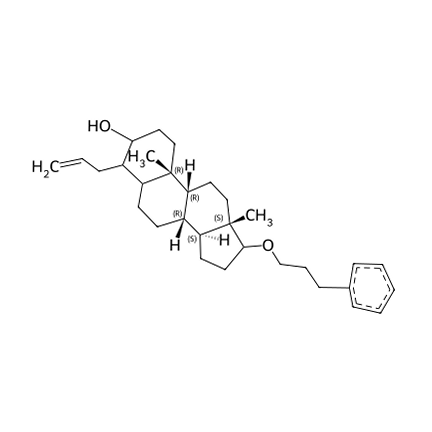 C=CCC1C(O)CC[C@@]2(C)C1CC[C@@H]1[C@H]2CC[C@]2(C)C(OCCCc3ccccc3)CC[C@@H]12